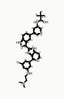 CN(C)CCNc1cc(F)cc(-c2nccc3[nH]c(-c4n[nH]c5ccc(-c6cncc(NC(O)C(C)(C)C)c6)cc45)nc23)c1